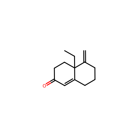 C=C1CCCC2=CC(=O)CCC12CC